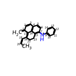 C=c1ccc2ccc(Nc3ccccc3)c3c2c1=C(/C=C\C)CC3